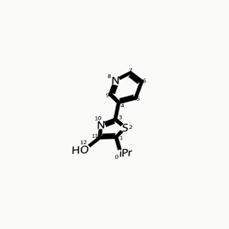 CC(C)c1sc(-c2cccnc2)nc1O